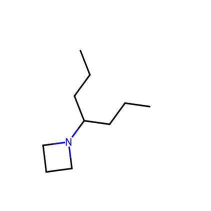 CCCC(CCC)N1CCC1